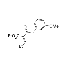 CCC=C(C(=O)Cc1cccc(OC)c1)C(=O)OCC